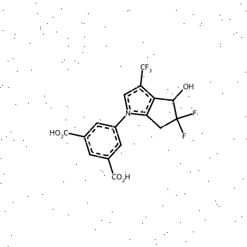 O=C(O)c1cc(C(=O)O)cc(-n2cc(C(F)(F)F)c3c2CC(F)(F)C3O)c1